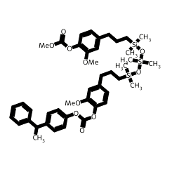 COC(=O)Oc1ccc(CCC[Si](C)(C)O[Si](C)(C)O[Si](C)(C)CCCc2ccc(OC(=O)Oc3ccc(C(C)c4ccccc4)cc3)c(OC)c2)cc1OC